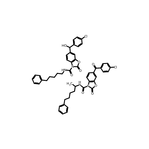 CC(CCCCc1ccccc1)NC(=O)n1c(=O)oc2cc(C(=O)c3ccc(Cl)cc3)ccc21.O=C(NCCCCCc1ccccc1)n1c(=O)oc2cc(C(O)c3ccc(Cl)cc3)ccc21